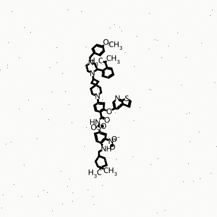 COc1ccc(CN2CCN(C3CC4(CCN(c5ccc(C(=O)NS(=O)(=O)c6ccc(NCC7CCC(C)(C)CC7)c([N+](=O)[O-])c6)c(Oc6cnc7sccc7c6)c5)CC4)C3)C(c3ccccc3C(C)C)C2)cc1